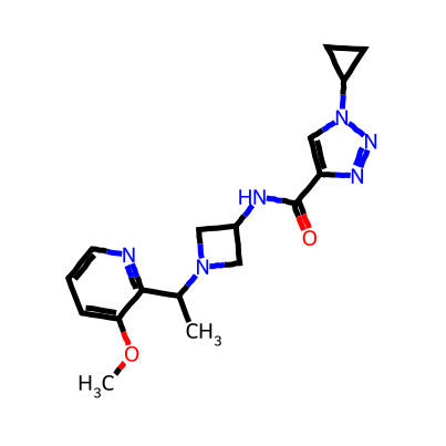 COc1cccnc1C(C)N1CC(NC(=O)c2cn(C3CC3)nn2)C1